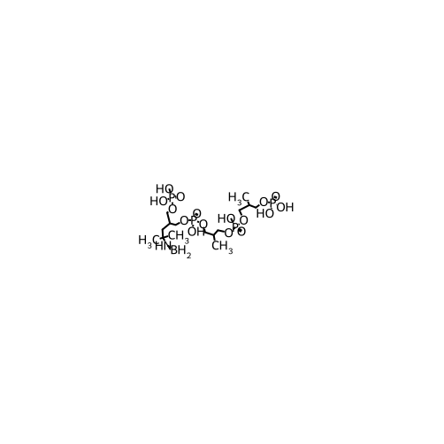 BNC(C)(C)CC(COP(=O)(O)O)COP(=O)(O)OCC(C)COP(=O)(O)OCC(C)COP(=O)(O)O